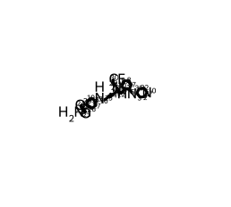 CN1CCC(Nc2cccc3c2cc(C#CCNc2ccc(S(N)(=O)=O)cc2)n3CC(F)(F)F)CC1